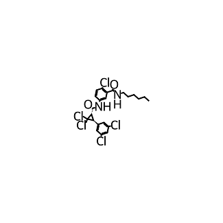 CCCCCCNC(=O)c1cc(NC(=O)[C@@H]2[C@@H](c3cc(Cl)cc(Cl)c3)C2(Cl)Cl)ccc1Cl